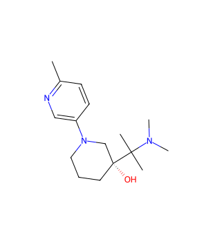 Cc1ccc(N2CCC[C@](O)(C(C)(C)N(C)C)C2)cn1